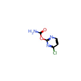 NC(=O)Oc1nccc(Cl)n1